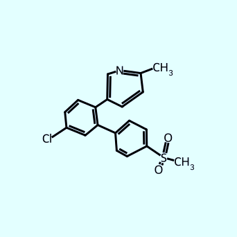 Cc1ccc(-c2ccc(Cl)cc2-c2ccc(S(C)(=O)=O)cc2)cn1